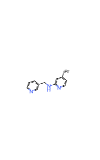 CC(C)c1ccnc(NCc2cccnc2)c1